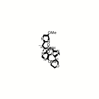 COc1cnc([C@@H](C)[C@H](C)S(=O)(=O)Nc2nnc([C@H]3COCCO3)n2-c2c(OC)ncnc2OC)nc1